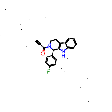 C#CC(=O)N1CCc2c([nH]c3ccccc23)[C@H]1c1ccc(F)cc1